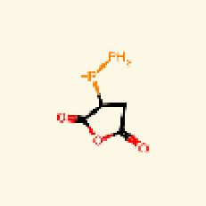 O=C1CC(PP)C(=O)O1